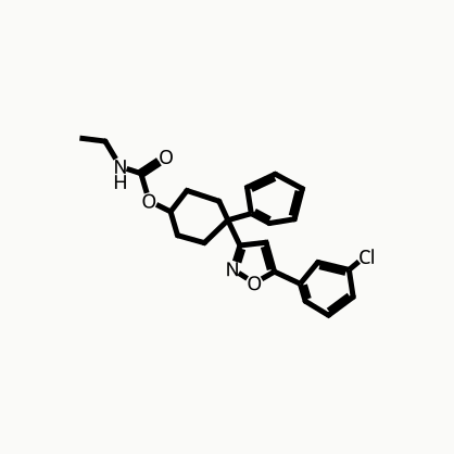 CCNC(=O)OC1CCC(c2ccccc2)(c2cc(-c3cccc(Cl)c3)on2)CC1